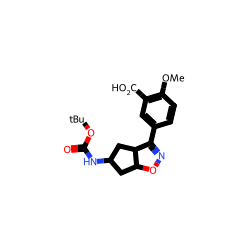 COc1ccc(C2=NOC3CC(NC(=O)OC(C)(C)C)CC23)cc1C(=O)O